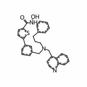 O=C(NO)c1ccc(-c2cccc(CN(CCCc3ccccc3)Cc3ccnc4ccccc34)c2)s1